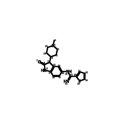 CN1CCC(C2C(=O)Nc3ccc(NC(=N)c4cccs4)cc32)CC1